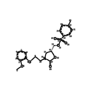 COc1ccccc1OCCN1C[C@H](COS(=O)(=O)c2ccc(C)cc2)OC1=O